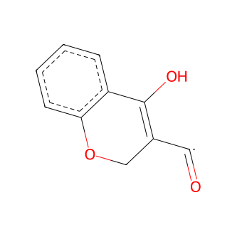 O=[C]C1=C(O)c2ccccc2OC1